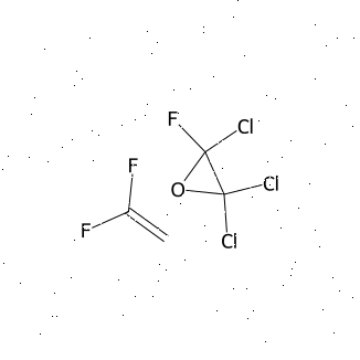 C=C(F)F.FC1(Cl)OC1(Cl)Cl